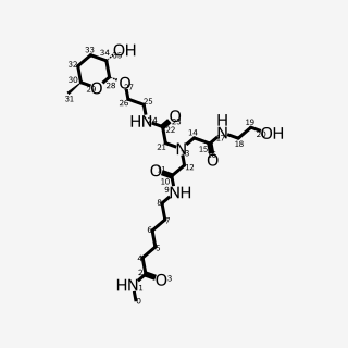 CNC(=O)CCCCCNC(=O)CN(CC(=O)NCCO)CC(=O)NCCO[C@@H]1O[C@@H](C)CC[C@@H]1O